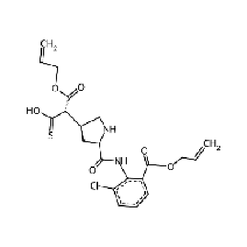 C=CCOC(=O)c1cccc(Cl)c1NC(=O)C1C[C@@H]([C@@H](C(=O)OCC=C)C(O)=S)CN1